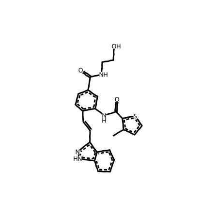 Cc1ccsc1C(=O)Nc1cc(C(=O)NCCO)ccc1C=Cc1n[nH]c2ccccc12